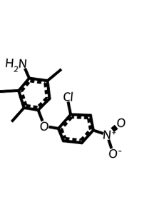 Cc1cc(Oc2ccc([N+](=O)[O-])cc2Cl)c(C)c(C)c1N